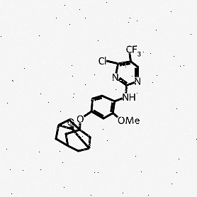 COc1cc(OC23CC4CC(C2)C(=O)C(C4)C3)ccc1Nc1ncc(C(F)(F)F)c(Cl)n1